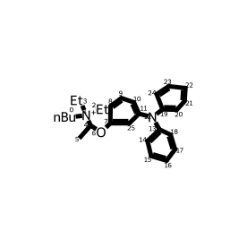 CCCC[N+](CC)(CC)C(C)Oc1cccc(N(c2ccccc2)c2ccccc2)c1